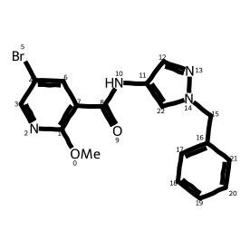 COc1ncc(Br)cc1C(=O)Nc1cnn(Cc2ccccc2)c1